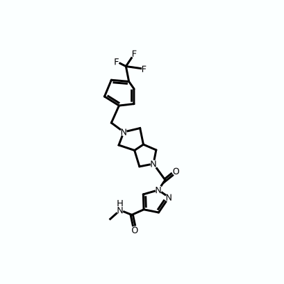 CNC(=O)c1cnn(C(=O)N2CC3CN(Cc4ccc(C(F)(F)F)cc4)CC3C2)c1